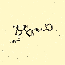 CC(C)Oc1ccc(N)c(C(=N)c2ccnc(NOSCc3ccccn3)c2)c1